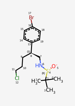 CC(C)(C)[S@+]([O-])NC[C@@H](CCCCl)c1ccc(Br)cc1